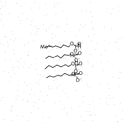 CCCCCCCO[PH](=O)[O-].CCCCCCCO[PH](=O)[O-].CCCCCCCO[PH](=O)[O-].CCCCCCCO[PH](=O)[O-].[Mo+4]